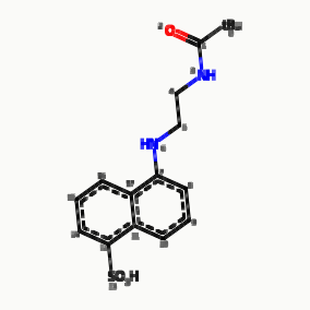 CC(C)(C)C(=O)NCCNc1cccc2c(S(=O)(=O)O)cccc12